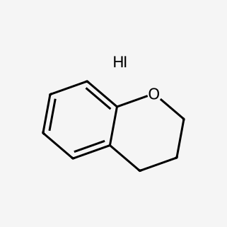 I.c1ccc2c(c1)CCCO2